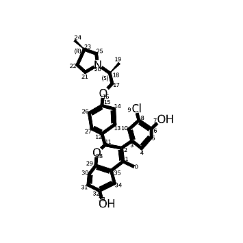 CC1=C(c2ccc(O)c(Cl)c2)C(c2ccc(OC[C@H](C)N3CC[C@@H](C)C3)cc2)Oc2ccc(O)cc21